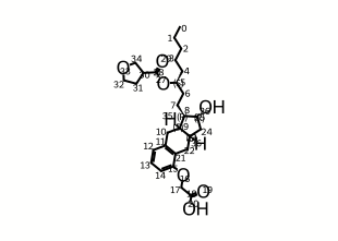 CCCCC[C@@H](CC[C@@H]1[C@H]2Cc3cccc(OCC(=O)O)c3C[C@H]2C[C@H]1O)OC(=O)C1CCOC1